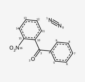 N#N.O=C(c1ccccc1)c1ccccc1[N+](=O)[O-]